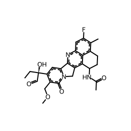 CC[C@@](O)(C=O)c1cc2n(c(=O)c1COC)Cc1c-2nc2cc(F)c(C)c3c2c1C(NC(C)=O)CC3